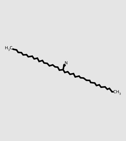 CCCCCCCCCCCCCCCCCCCCC(C#N)CCCCCCCCCCCCCCCCCCCC